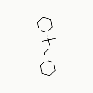 CC(C)C(C)(NC[SiH]1CCCCO1)[SiH]1CCCCO1